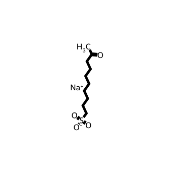 CC(=O)CCCCCCCCS(=O)(=O)[O-].[Na+]